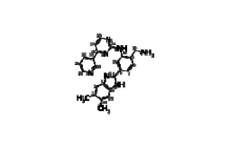 Cc1cc2nc(-c3ccc(CN)c(Nc4nccc(-c5cccnc5)n4)c3)[nH]c2cc1C